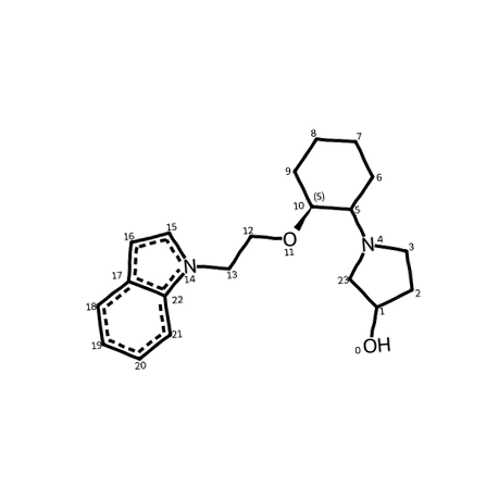 OC1CCN(C2CCCC[C@@H]2OCCn2ccc3ccccc32)C1